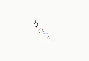 C[C@]1(O)C[C@@H](C(=O)N2CC3(CCC(Oc4ccc(C(F)F)cn4)CC3)C2)C1